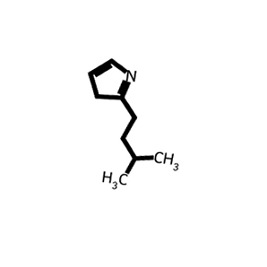 CC(C)CCC1=NC=CC1